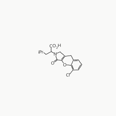 CC(C)CC(C(=O)O)N1CC2=C(Oc3c(Cl)cccc3C2)C1=O